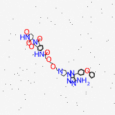 Nc1ncnc2c1c(-c1ccc(Oc3ccccc3)cc1)nn2C1CCN(CCOCCOCC(=O)Nc2ccc3c(c2)C(=O)N(C2CCC(=O)NC2=O)C3=O)CC1